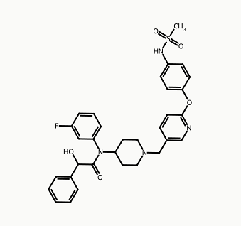 CS(=O)(=O)Nc1ccc(Oc2ccc(CN3CCC(N(C(=O)C(O)c4ccccc4)c4cccc(F)c4)CC3)cn2)cc1